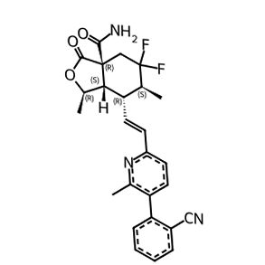 Cc1nc(C=C[C@@H]2[C@@H]3[C@@H](C)OC(=O)[C@]3(C(N)=O)CC(F)(F)[C@H]2C)ccc1-c1ccccc1C#N